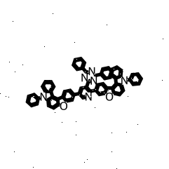 c1ccc(-c2nc(-c3ccccc3)nc(-c3cc(-c4ccc5c(c4)oc4ccc6c(c7ccccc7n6-c6ccccc6)c45)cnc3-c3ccc4c(c3)oc3ccc5c(c6ccccc6n5-c5ccccc5)c34)n2)cc1